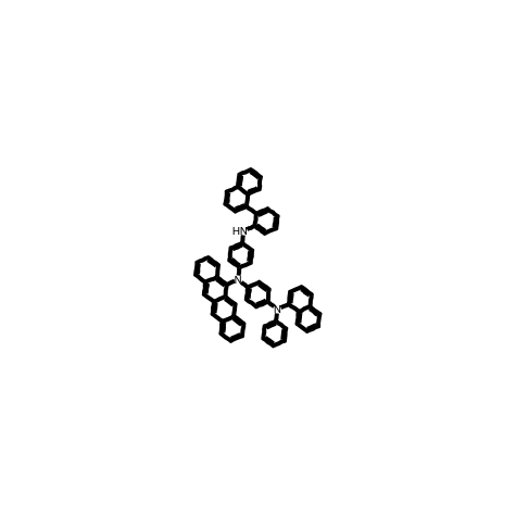 c1ccc(N(c2ccc(N(c3ccc(Nc4ccccc4-c4cccc5ccccc45)cc3)c3c4ccccc4cc4cc5ccccc5cc34)cc2)c2cccc3ccccc23)cc1